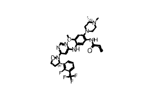 C=CC(=O)Nc1cc(Nc2cc(N3OCC[C@@H]3c3cccc(C(F)(F)F)c3F)ncn2)c(OC)cc1N1CCN(C)[C@@H](C)C1